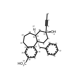 CC#C[C@]1(O)CC[C@@]2(Cc3ccccc3)c3ccc(C(=O)O)cc3CCC[C@H]2C1